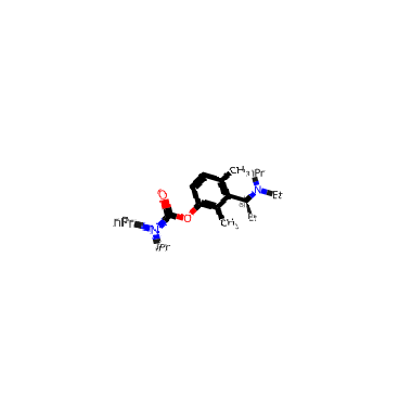 CCCN(C(=O)Oc1ccc(C)c([C@H](CC)N(CC)C(C)C)c1C)C(C)C